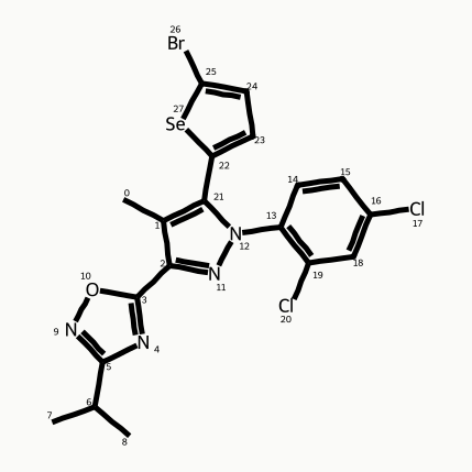 Cc1c(-c2nc(C(C)C)no2)nn(-c2ccc(Cl)cc2Cl)c1-c1ccc(Br)[se]1